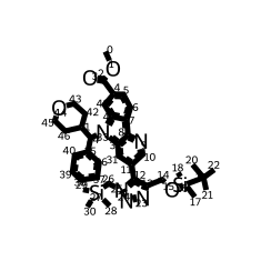 COC(=O)c1ccc2c3ncc(-c4c(CO[Si](C)(C)C(C)(C)C)nnn4C[Si](C)(C)C)cc3n(C(c3ccccc3)C3CCOCC3)c2c1